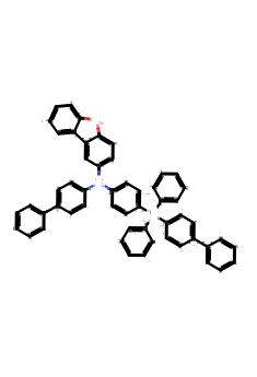 c1ccc(-c2ccc(N(c3ccc([Si](c4ccccc4)(c4ccccc4)c4ccc(-c5ccccc5)cc4)cc3)c3ccc4oc5ccccc5c4c3)cc2)cc1